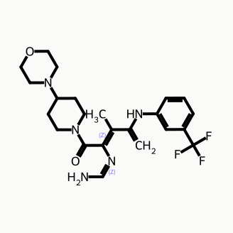 C=C(Nc1cccc(C(F)(F)F)c1)/C(C)=C(\N=C/N)C(=O)N1CCC(N2CCOCC2)CC1